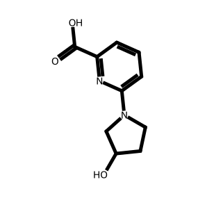 O=C(O)c1cccc(N2CCC(O)C2)n1